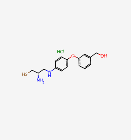 Cl.N[C@@H](CS)CNc1ccc(Oc2cccc(CO)c2)cc1